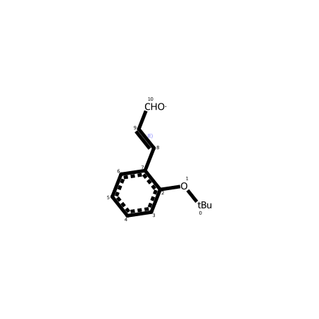 CC(C)(C)Oc1ccccc1/C=C/[C]=O